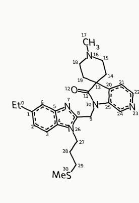 CCc1ccc2c(c1)nc(CN1C(=O)C3(CCN(C)CC3)c3ccncc31)n2CCCSC